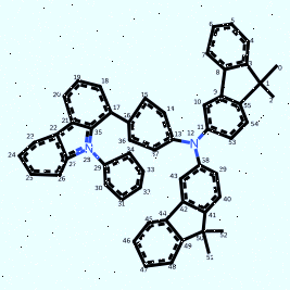 CC1(C)c2ccccc2-c2cc(N(c3ccc(-c4cccc5c6ccccc6n(-c6ccccc6)c45)cc3)c3ccc4c(c3)-c3ccccc3C4(C)C)ccc21